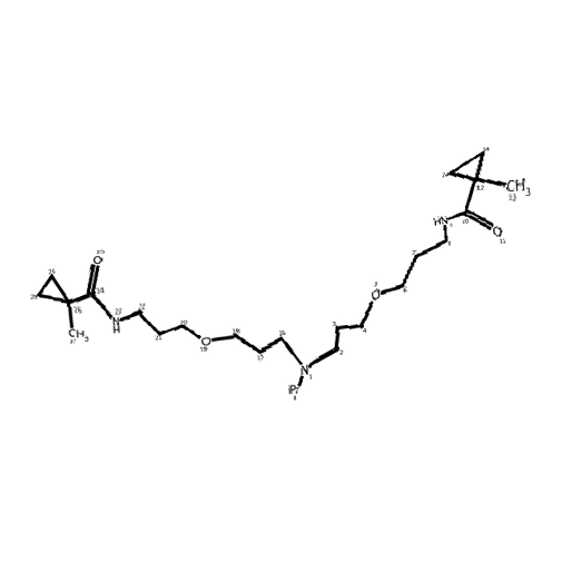 CC(C)N(CCCOCCCNC(=O)C1(C)CC1)CCCOCCCNC(=O)C1(C)CC1